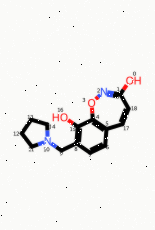 OC1=NOc2c(ccc(CN3CCCC3)c2O)C=C1